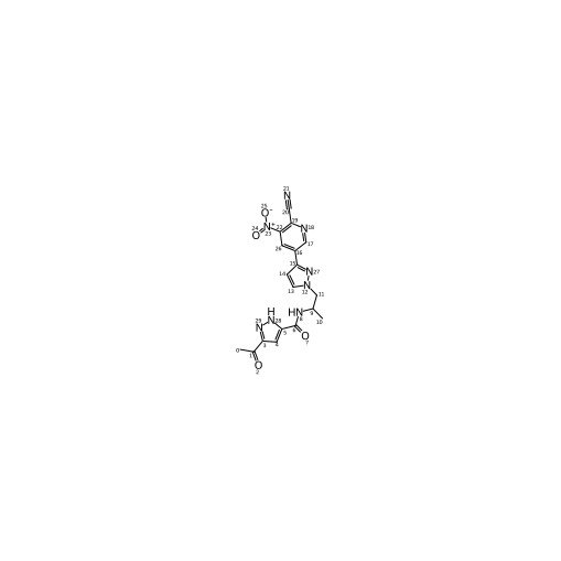 CC(=O)c1cc(C(=O)NC(C)Cn2ccc(-c3cnc(C#N)c([N+](=O)[O-])c3)n2)[nH]n1